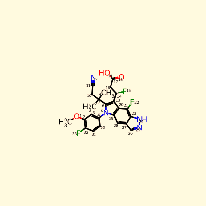 COc1cc(-n2c(C(C)(C)CC#N)c([C@H](F)CC(=O)O)c3c(F)c4[nH]ncc4cc32)ccc1F